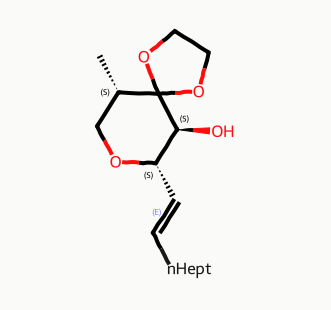 CCCCCCC/C=C/[C@@H]1OC[C@H](C)C2(OCCO2)[C@H]1O